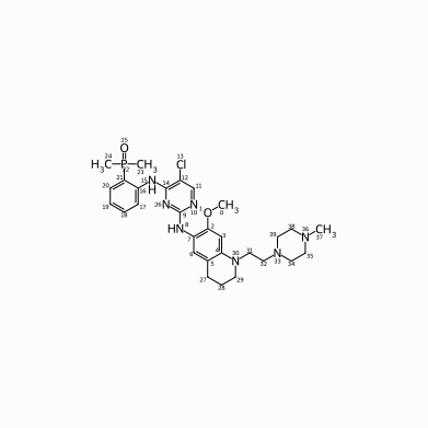 COc1cc2c(cc1Nc1ncc(Cl)c(Nc3ccccc3P(C)(C)=O)n1)CCCN2CCN1CCN(C)CC1